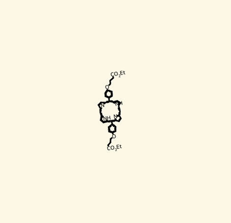 CCOC(=O)CCCOc1ccc(-c2c3nc(cc4ccc([nH]4)c(-c4ccc(OCCCC(=O)OCC)cc4)c4nc(cc5ccc2[nH]5)C=C4)C=C3)cc1